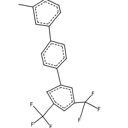 Cc1cccc(-c2ccc(-c3cc(C(F)(F)F)cc(C(F)(F)F)c3)cc2)c1